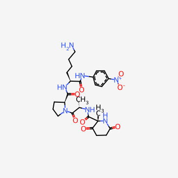 C[C@H](NC(=O)[C@]1(C)NC(=O)CCC1=O)C(=O)N1CCC[C@H]1C(=O)N[C@@H](CCCCN)C(=O)Nc1ccc([N+](=O)[O-])cc1